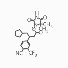 CC1(C)C(=O)NC(=O)N1OC(=O)CC(CC1CCCC1)c1ccc(C#N)c(C(F)(F)F)c1